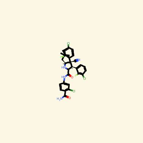 CC(C)(C)C[C@@H]1NC(C(=O)Nc2ccc(C(N)=O)c(Cl)c2)[C@H](c2cccc(Cl)c2F)[C@@]1(C#N)c1ccc(Cl)cc1F